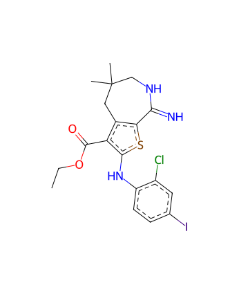 CCOC(=O)c1c(Nc2ccc(I)cc2Cl)sc2c1CC(C)(C)CNC2=N